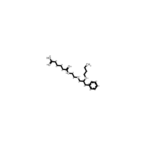 CCCCOC(COCCOC(=O)CCCCC(=O)O)Cc1ccccc1